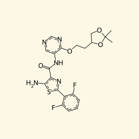 CC1(C)OCC(CCOc2ncncc2NC(=O)c2nc(-c3c(F)cccc3F)sc2N)O1